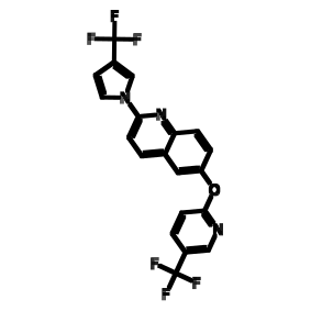 FC(F)(F)c1ccc(Oc2ccc3nc(-n4ccc(C(F)(F)F)c4)ccc3c2)nc1